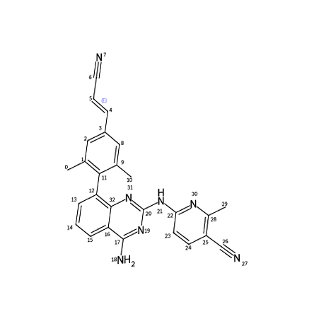 Cc1cc(/C=C/C#N)cc(C)c1-c1cccc2c(N)nc(Nc3ccc(C#N)c(C)n3)nc12